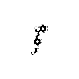 O=CC(CCc1ccc(OCCCl)cc1)c1ccccc1